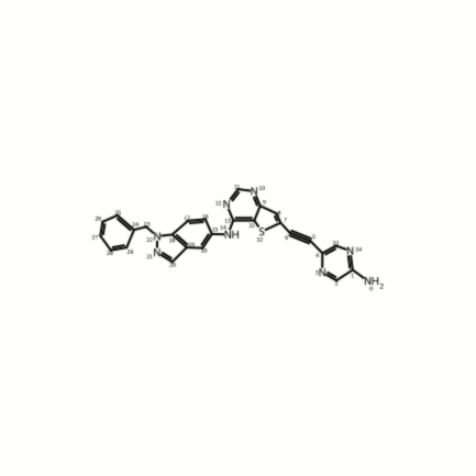 Nc1cnc(C#Cc2cc3ncnc(Nc4ccc5c(cnn5Cc5ccccc5)c4)c3s2)cn1